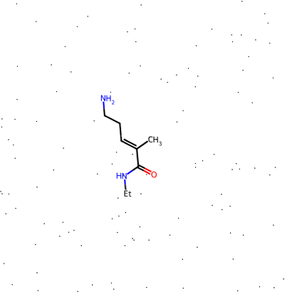 CCNC(=O)C(C)=CCCN